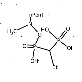 CCCCCN(C)OP(=O)(O)C(CC)P(=O)(O)O